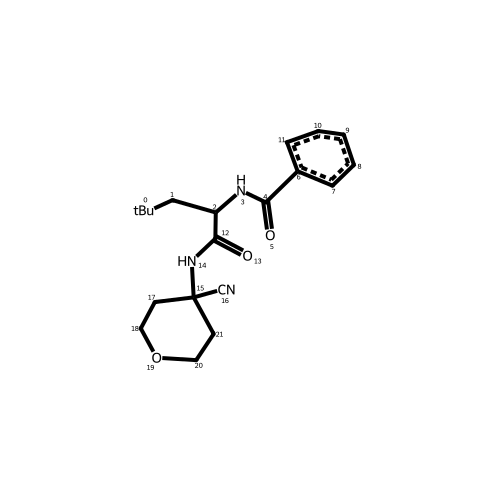 CC(C)(C)CC(NC(=O)c1ccccc1)C(=O)NC1(C#N)CCOCC1